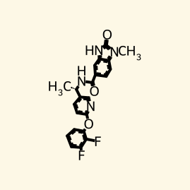 C[C@H](NC(=O)c1ccc2c(c1)[nH]c(=O)n2C)c1ccc(Oc2cccc(F)c2F)nc1